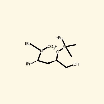 CC(C)[C@@H](C[C@H](CO)O[Si](C)(C)C(C)(C)C)N(C(=O)O)C(C)(C)C